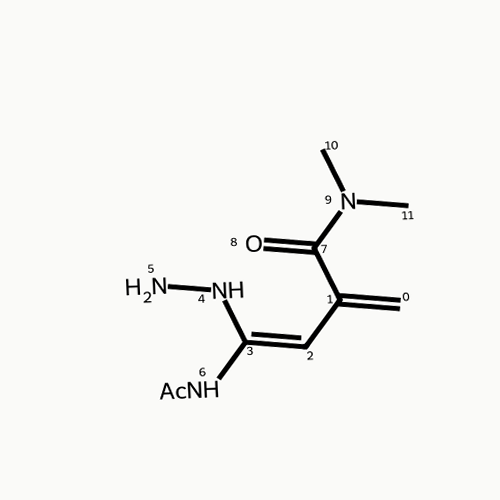 C=C(/C=C(\NN)NC(C)=O)C(=O)N(C)C